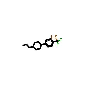 CCCC1CCC(c2ccc(C(F)(F)S)cc2)CC1